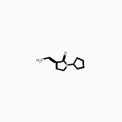 C/C=C1\CCN(C2CCCC2)C1=O